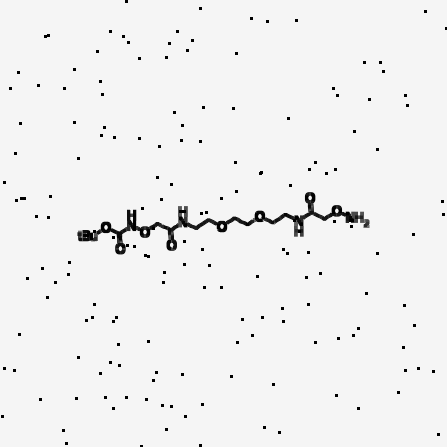 CC(C)(C)OC(=O)NOCC(=O)NCCOCCOCCNC(=O)CON